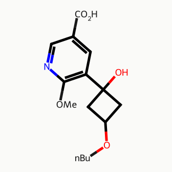 CCCCOC1CC(O)(c2cc(C(=O)O)cnc2OC)C1